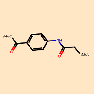 CCCCCCCCCC(=O)Nc1ccc(C(=O)OC)cc1